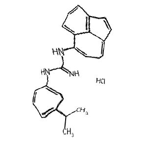 CC(C)c1cccc(NC(=N)Nc2ccc3c4c(cccc24)C=C3)c1.Cl